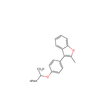 CCCCCC(Oc1ccc(-c2c(C)oc3ccccc23)cc1)C(=O)O